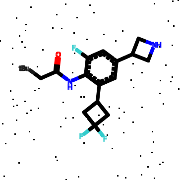 CC(C)(C)CC(=O)Nc1c(F)cc(C2CNC2)cc1C1CC(F)(F)C1